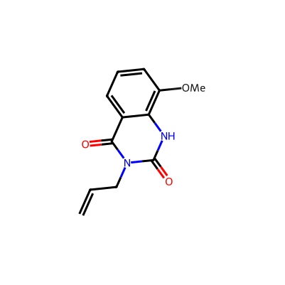 C=CCn1c(=O)[nH]c2c(OC)cccc2c1=O